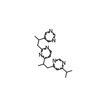 CC(C)c1cc(CC(C)c2ccnc(CC(C)c3cncnc3)n2)ncn1